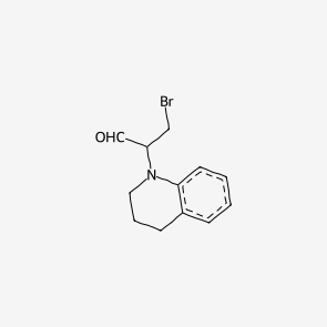 O=CC(CBr)N1CCCc2ccccc21